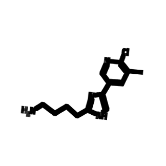 Cc1cc(-c2c[nH]c(CCCCN)n2)cnc1Cl